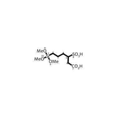 CO[Si](CCCC(CC(=O)O)S(=O)(=O)O)(OC)OC